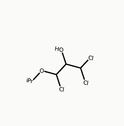 CC(C)OC(Cl)C(O)C(Cl)Cl